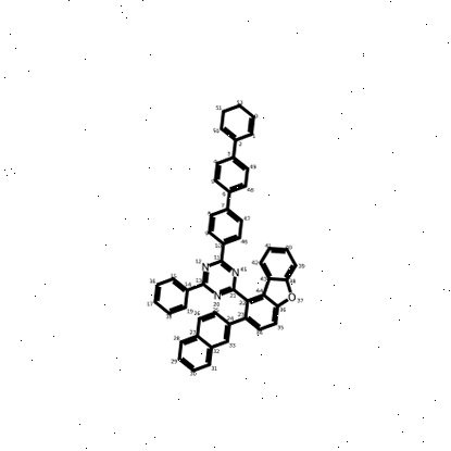 C1=CC(c2ccc(-c3ccc(-c4nc(-c5ccccc5)nc(-c5c(-c6ccc7ccccc7c6)ccc6oc7ccccc7c56)n4)cc3)cc2)=CCC1